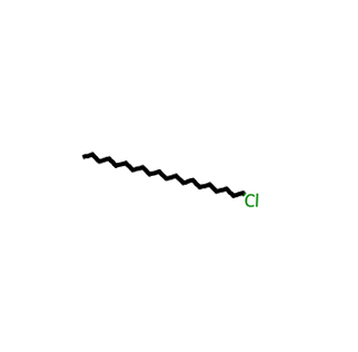 CCCCCCCCCCCCCCCCCCCCCl